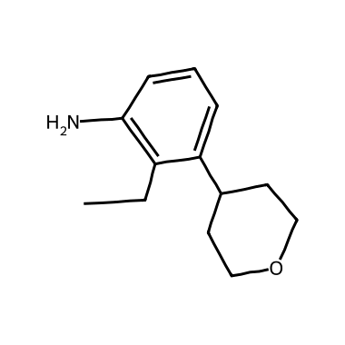 CCc1c(N)cccc1C1CCOCC1